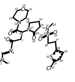 CN(C)/C=N/C(=O)C[C@@H](C(=O)N1CCOCC1)N1CC[C@H](N(C)S(=O)(=O)CCc2ccc(Cl)s2)C1=O